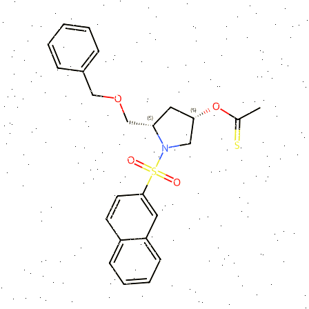 CC(=S)O[C@H]1C[C@@H](COCc2ccccc2)N(S(=O)(=O)c2ccc3ccccc3c2)C1